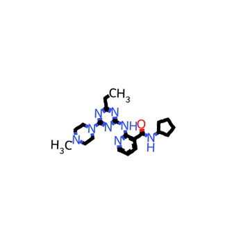 CCc1nc(Nc2ncccc2C(=O)NC2CCCC2)nc(N2CCN(C)CC2)n1